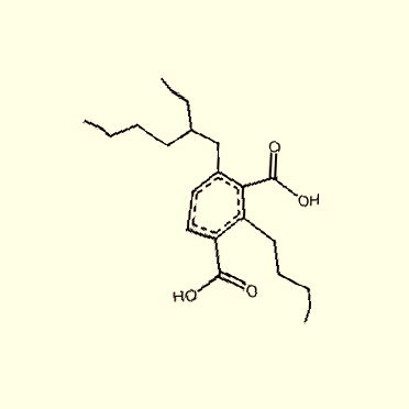 CCCCc1c(C(=O)O)ccc(CC(CC)CCCC)c1C(=O)O